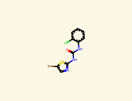 O=C(Nc1ncc(Br)s1)Nc1ccccc1Cl